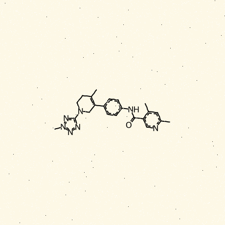 CC1=C(c2ccc(NC(=O)c3cnc(C)cc3C)cc2)CN(c2nnn(C)n2)CC1